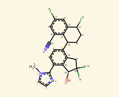 Cn1ccnc1-c1ccc(C2CCC(F)c3cc(F)cc(C#N)c32)c2c1[C@H](O)C(F)(F)C2